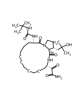 CC(C)(O)C[C@H]1CCN2C(=O)[C@@H](NC(=O)NC(C)(C)C)CCCCCCCCCC[C@@H](C(=O)C(N)=O)NC(=O)[C@H]12